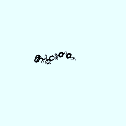 O=C(CC12CC3CC(CC(C3)C1)C2)Nc1ncnc2c1CCN(S(=O)(=O)c1ccc(Oc3ccc(C(F)(F)F)cc3)cc1)C2